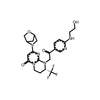 O=C(CN1c2nc(N3CC4CC3CO4)cc(=O)n2CC[C@H]1C(F)(F)F)c1ccc(NCCO)nc1